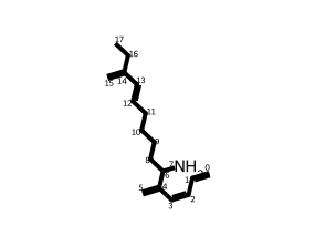 C=C/C=C\C(=C)C(N)CCCC/C=C/C(=C)CC